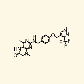 Cc1nc(NCc2ccc(OCc3cn(C)nc3C(F)(F)F)cc2)nc2c1NC(=O)CN2C